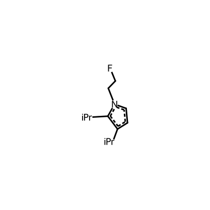 CC(C)c1ccn(CCF)c1C(C)C